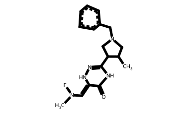 CC1CN(Cc2ccccc2)CC1C1=NN/C(=C\N(C)F)C(=O)N1